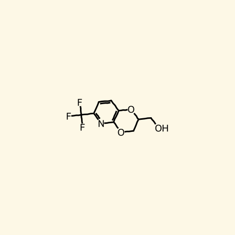 OCC1COc2nc(C(F)(F)F)ccc2O1